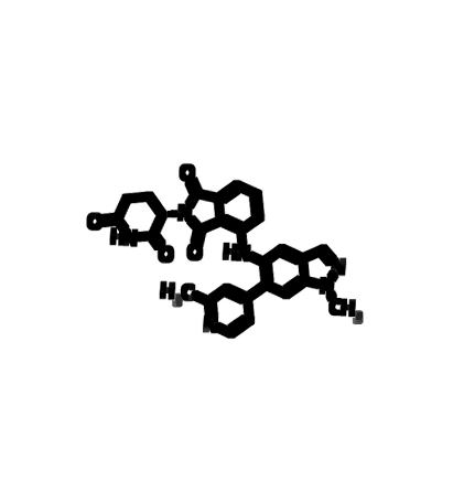 Cc1cc(-c2cc3c(cnn3C)cc2Nc2cccc3c2C(=O)N([C@H]2CCC(=O)NC2=O)C3=O)ccn1